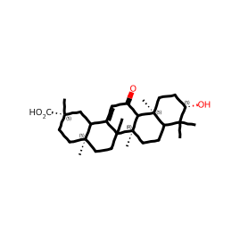 CC1(C)C2CC[C@]3(C)C(C(=O)C=C4C5C[C@@](C)(C(=O)O)CC[C@]5(C)CCC43C)[C@@]2(C)CC[C@@H]1O